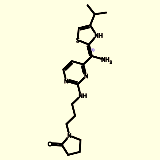 CC(C)C1=CS/C(=C(/N)c2ccnc(NCCCN3CCCC3=O)n2)N1